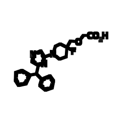 O=C(O)COCC1(F)CCN(c2cncc(C(c3ccccc3)c3ccccc3)n2)CC1